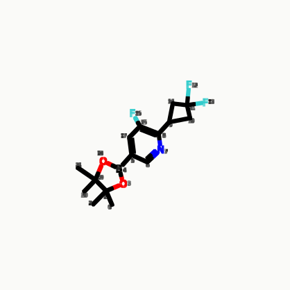 CC1(C)OB(c2cnc(C3CC(F)(F)C3)c(F)c2)OC1(C)C